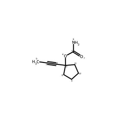 CC#CC1(OC(N)=O)CCCC1